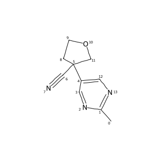 Cc1ncc(C2(C#N)CCOC2)cn1